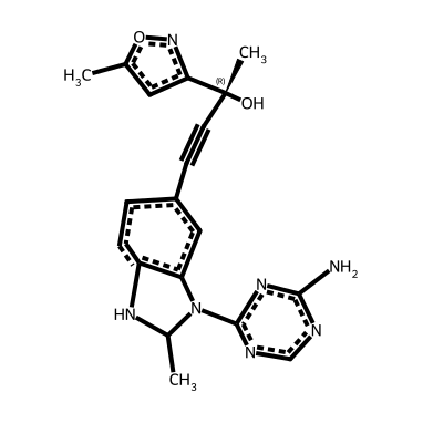 Cc1cc([C@](C)(O)C#Cc2ccc3c(c2)N(c2ncnc(N)n2)C(C)N3)no1